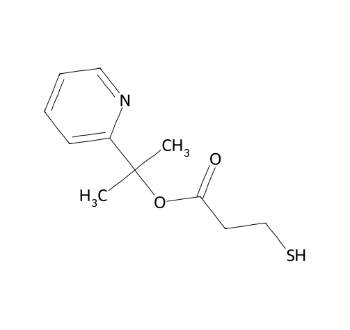 CC(C)(OC(=O)CCS)c1ccccn1